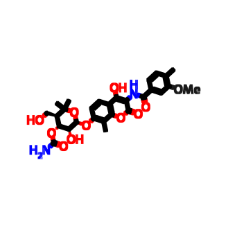 COc1cc(C(=O)Nc2c(O)c3ccc(O[C@@H]4OC(C)(C)[C@H](CO)[C@@H](OC(N)=O)[C@H]4O)c(C)c3oc2=O)ccc1C